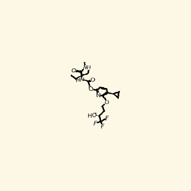 CCC(CC)(NC(=O)Oc1ccc(C2CC2)c(OCC[C@@H](O)C(F)(F)F)n1)C(=O)NC